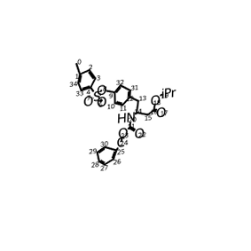 Cc1ccc(S(=O)(=O)Oc2ccc(CC(CC(=O)OC(C)C)NC(=O)OCc3ccccc3)cc2)cc1